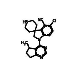 C[C@@H]1CCc2ncnc(N3CC4(CCNCC4)c4c3ccc(Cl)c4C#N)c21